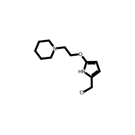 ClCc1ccc(OCCN2CCCCC2)[nH]1